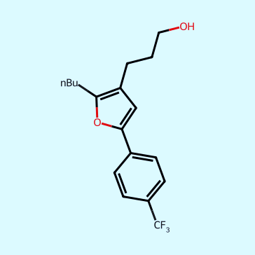 CCCCc1oc(-c2ccc(C(F)(F)F)cc2)cc1CCCO